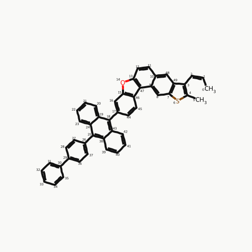 C/C=C\c1c(C)sc2cc3c(ccc4oc5cc(-c6c7ccccc7c(-c7ccc(-c8ccccc8)cc7)c7ccccc67)ccc5c43)cc12